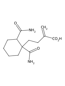 C=C(CCC1(C(N)=O)CCCCC1C(N)=O)C(=O)O